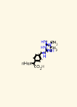 CCCCCCC(C(=O)O)c1ccc(CNC(=N)NC(=N)N(C)C)cc1